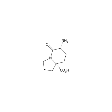 N[C@@H]1CC[C@@]2(C(=O)O)CCCN2C1=O